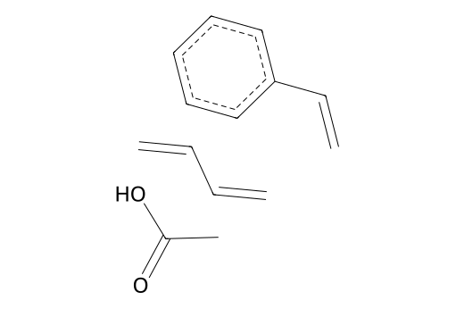 C=CC=C.C=Cc1ccccc1.CC(=O)O